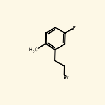 Cc1ccc(F)cc1CCC(C)C